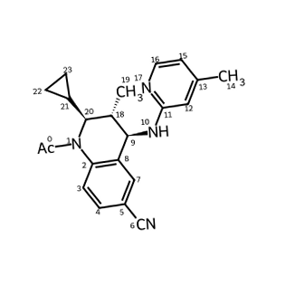 CC(=O)N1c2ccc(C#N)cc2[C@H](Nc2cc(C)ccn2)[C@@H](C)[C@@H]1C1CC1